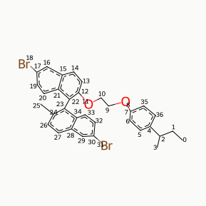 CCC(C)c1ccc(OCCOc2ccc3cc(Br)ccc3c2-c2c(C)ccc3cc(Br)ccc23)cc1